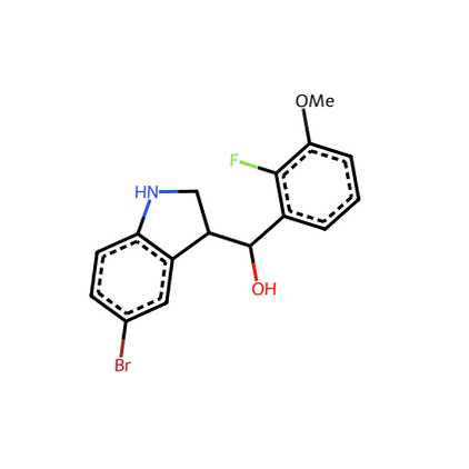 COc1cccc(C(O)C2CNc3ccc(Br)cc32)c1F